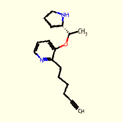 C#CCCCCc1ncccc1OC(C)[C@@H]1CCCN1